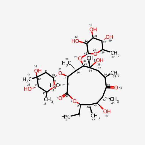 CC[C@H]1OC(=O)[C@H](C)[C@@H](O[C@H]2CC(C)(O)[C@@H](O)C(C)O2)[C@H](C)[C@@H](O[C@@H]2OC(C)[C@@H](O)C(O)C2O)[C@](C)(O)C[C@@H](C)C(=O)[C@H](C)[C@@H](O)[C@H]1C